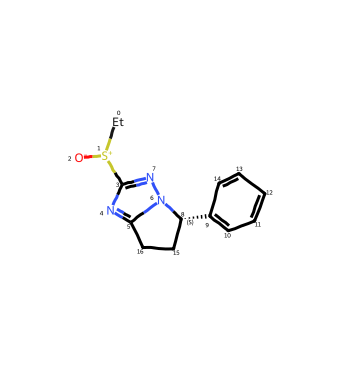 CC[S+]([O-])c1nc2n(n1)[C@H](c1ccccc1)CC2